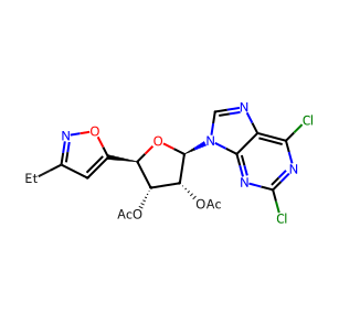 CCc1cc([C@H]2O[C@@H](n3cnc4c(Cl)nc(Cl)nc43)[C@H](OC(C)=O)[C@@H]2OC(C)=O)on1